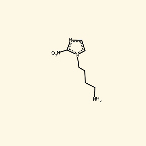 NCCCCn1ccnc1[N+](=O)[O-]